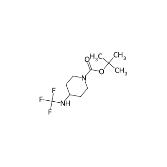 CC(C)(C)OC(=O)N1CCC(NC(F)(F)F)CC1